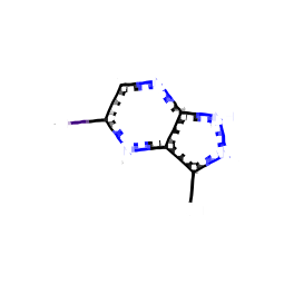 Cc1n[nH]c2ncc(I)nc12